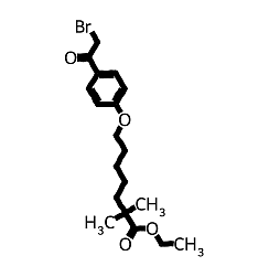 CCOC(=O)C(C)(C)CCCCCOc1ccc(C(=O)CBr)cc1